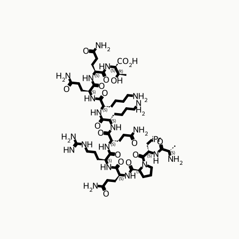 CC(C)C[C@H](NC(=O)[C@H](C)N)C(=O)N1CCC[C@H]1C(=O)N[C@@H](CCC(N)=O)C(=O)N[C@@H](CCCNC(=N)N)C(=O)N[C@@H](CCC(N)=O)C(=O)N[C@@H](CCCCN)C(=O)N[C@@H](CCCCN)C(=O)N[C@@H](CCC(N)=O)C(=O)N[C@@H](CCC(N)=O)C(=O)N[C@H](C(=O)O)[C@@H](C)O